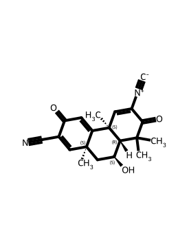 [C-]#[N+]C1=C[C@]2(C)C3=CC(=O)C(C#N)=C[C@]3(C)C[C@H](O)[C@H]2C(C)(C)C1=O